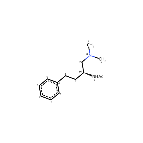 CC(=O)N[C@@H](CCc1ccccc1)CN(C)C